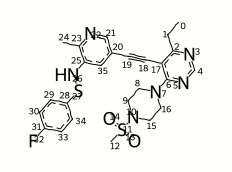 CCc1ncnc(N2CCN(S(C)(=O)=O)CC2)c1C#Cc1cnc(C)c(NSc2ccc(F)cc2)c1